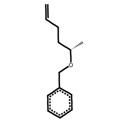 C=CCC[C@H](C)OCc1ccccc1